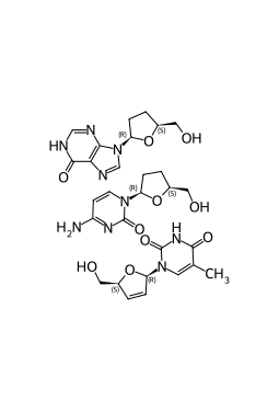 Cc1cn([C@H]2C=C[C@@H](CO)O2)c(=O)[nH]c1=O.Nc1ccn([C@H]2CC[C@@H](CO)O2)c(=O)n1.O=c1[nH]cnc2c1ncn2[C@H]1CC[C@@H](CO)O1